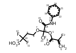 C=C(F)C(=O)OC(OCCC(F)(F)S(=O)(=O)O)(C(=O)Nc1ccccc1)C(F)(F)F